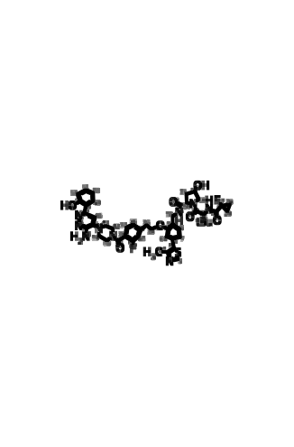 Cc1ncsc1-c1ccc(CNC(=O)[C@@H]2C[C@@H](O)CN2C(=O)[C@@H](NC(=O)C2(F)CC2)C(C)(C)C)c(OCCc2ccc(C(=O)N3CCN(c4cc(-c5ccccc5O)nnc4N)CC3)c(F)c2)c1